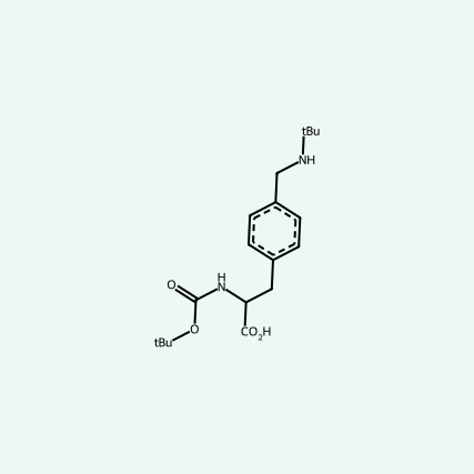 CC(C)(C)NCc1ccc(CC(NC(=O)OC(C)(C)C)C(=O)O)cc1